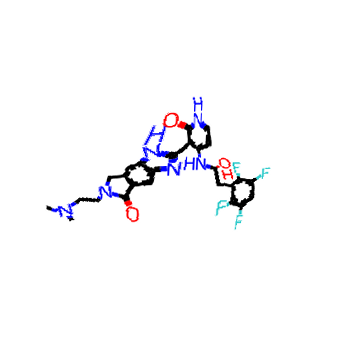 CN(C)CCN1Cc2cc3[nH]c(-c4c(N[C@@H](O)Cc5c(F)c(F)cc(F)c5F)cc[nH]c4=O)nc3cc2C1=O